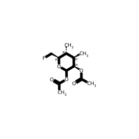 CC(=O)OC1O[C@@H](CF)[C@H](C)[C@@H](C)[C@H]1OC(C)=O